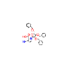 N#Cc1ccn(C2OC(COCc3ccccc3)C(OCc3ccccc3)C2OCc2ccccc2)c1C(=O)O